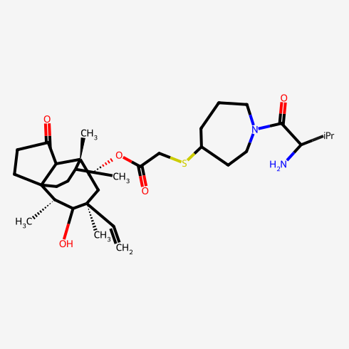 C=C[C@]1(C)C[C@@H](OC(=O)CSC2CCCN(C(=O)C(N)C(C)C)CC2)[C@]2(C)C(C)CCC3(CCC(=O)C32)[C@@H](C)C1O